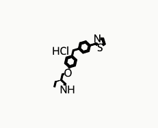 CC[C@H](C=N)COc1ccc(Cc2ccc(-c3nccs3)cc2)cc1.Cl